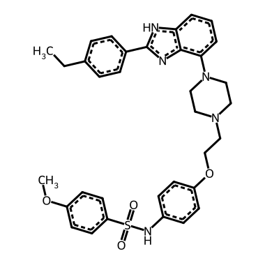 CCc1ccc(-c2nc3c(N4CCN(CCOc5ccc(NS(=O)(=O)c6ccc(OC)cc6)cc5)CC4)cccc3[nH]2)cc1